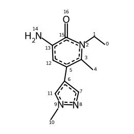 CCn1c(C)c(-c2cnn(C)c2)cc(N)c1=O